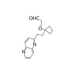 O=CCOC1(CCc2ccc3ncccc3n2)CCC1